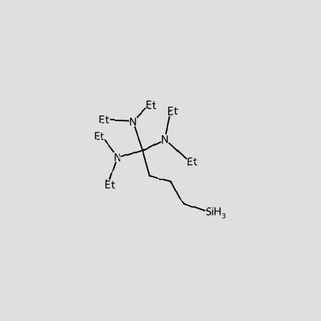 CCN(CC)C(CCC[SiH3])(N(CC)CC)N(CC)CC